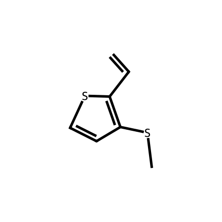 C=Cc1sccc1SC